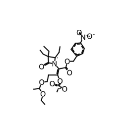 CCOC(C)OCCC(OS(C)(=O)=O)=C(C(=O)OCc1ccc([N+](=O)[O-])cc1)N1[C](CC)C(CC)(CC)C1=O